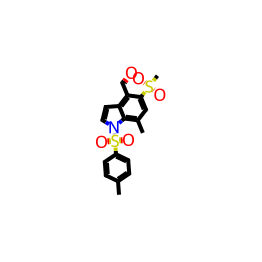 Cc1ccc(S(=O)(=O)n2ccc3c(C=O)c(S(C)(=O)=O)cc(C)c32)cc1